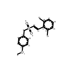 COc1ccc(CS(=O)(=O)C=Cc2c(C)cccc2C)cc1